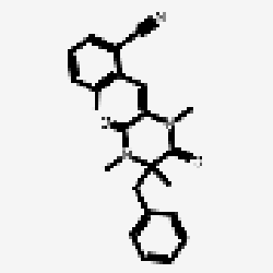 Cc1cccc(C#N)c1C=C1C(=O)N(C)C(C)(Cc2ccccc2)C(=O)N1C